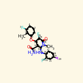 Cc1c(F)cccc1Oc1c(C(N)=O)c(Nc2ccc(I)cc2F)n(C)c(=O)c1F